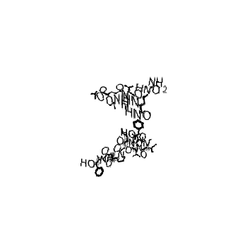 CC[C@H](C)[C@@H]([C@@H](CC(=O)N1CCC[C@H]1[C@H](OC)[C@@H](C)C(=O)N[C@H](C)[C@@H](O)c1ccccc1)OC)N(C)C(=O)[C@@H](NC(=O)[C@H](C(C)C)N(C)C(=O)OC(C(=O)O)c1ccc(NC(=O)C(CCCNC(N)=O)NC(=O)C(NC(=O)C(CCC(=O)OC(C)(C)C)NC(C)=O)C(C)C)cc1)C(C)C